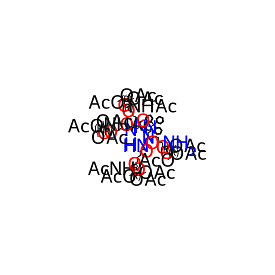 CC(=O)NC1C(OC(C)=O)[C@@H](OC(C)=O)C(COC(C)=O)O[C@H]1OCCCCC(=O)NCCN(CCN(CCN(CCNC(=O)CCCCO[C@@H]1OC(COC(C)=O)[C@H](OC(C)=O)C(OC(C)=O)C1NC(C)=O)C(=O)CCCCO[C@@H]1OC(COC(C)=O)[C@H](OC(C)=O)C(OC(C)=O)C1NC(C)=O)C(c1ccccc1)(c1ccccc1)c1ccccc1)C(=O)CCCCO[C@@H]1OC(COC(C)=O)[C@H](OC(C)=O)C(OC(C)=O)C1N